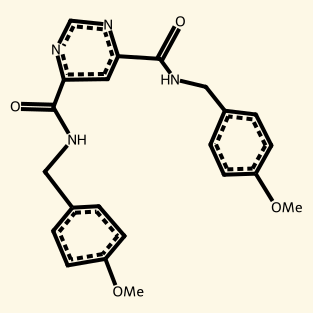 COc1ccc(CNC(=O)c2cc(C(=O)NCc3ccc(OC)cc3)ncn2)cc1